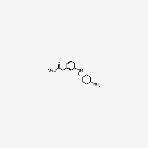 COC(=O)Cc1cccc(NC[C@H]2CC[C@H](N)CC2)c1